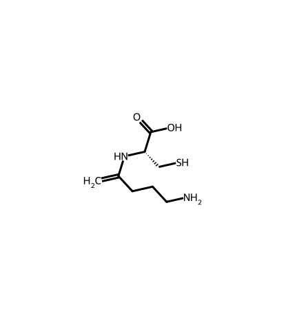 C=C(CCCN)N[C@@H](CS)C(=O)O